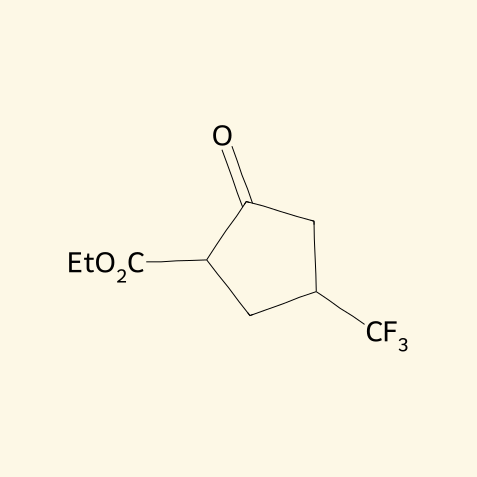 CCOC(=O)C1CC(C(F)(F)F)CC1=O